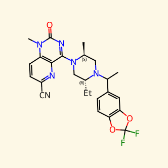 CC[C@@H]1CN(c2nc(=O)n(C)c3ccc(C#N)nc23)[C@@H](C)CN1C(C)c1ccc2c(c1)OC(F)(F)O2